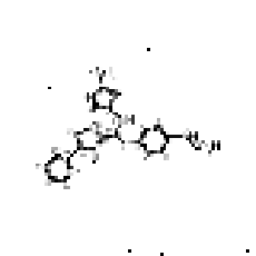 Cc1nnc(N[C@@H](Cc2ccc(NS(=O)(=O)O)cc2)c2nc(-c3ccccc3)cs2)s1